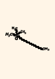 CCCCCCCCCCCCCCCCCCCCCC(=O)N(CCC)N(CCCC)CCCC